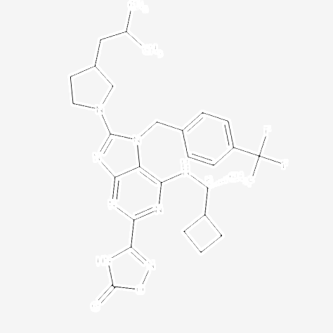 CC(C)CC1CCN(c2nc3nc(-c4noc(=O)[nH]4)nc(N[C@H](C)C4CCC4)c3n2Cc2ccc(C(F)(F)F)cc2)C1